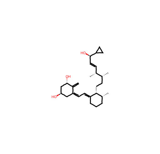 C=C1/C(=C\C=C2/CCC[C@@H](C)[C@H]2CC[C@@H](C)[C@H](C)/C=C/[C@@H](O)C2CC2)C[C@@H](O)C[C@@H]1O